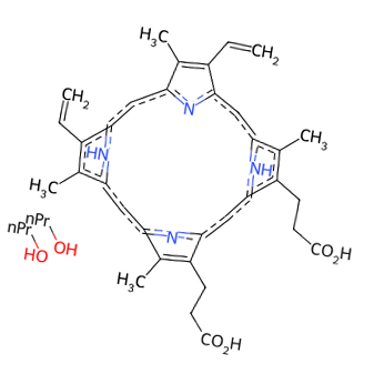 C=CC1=C(C)c2cc3[nH]c(cc4nc(cc5[nH]c(cc1n2)c(C)c5CCC(=O)O)C(CCC(=O)O)=C4C)c(C)c3C=C.CCCO.CCCO